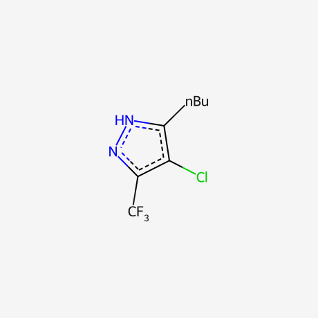 CCCCc1[nH]nc(C(F)(F)F)c1Cl